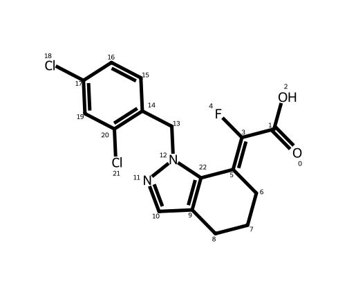 O=C(O)C(F)=C1CCCc2cnn(Cc3ccc(Cl)cc3Cl)c21